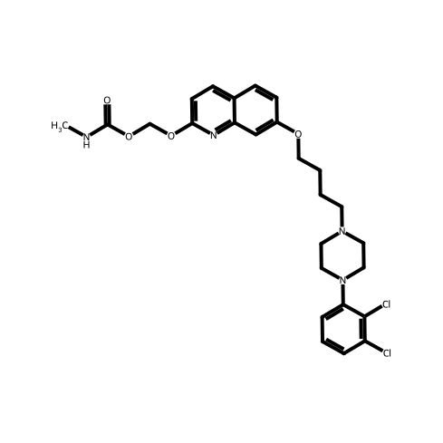 CNC(=O)OCOc1ccc2ccc(OCCCCN3CCN(c4cccc(Cl)c4Cl)CC3)cc2n1